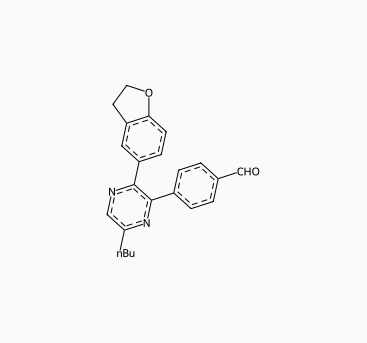 CCCCc1cnc(-c2ccc3c(c2)CCO3)c(-c2ccc(C=O)cc2)n1